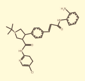 CC(C)(C)N1CC(C(=O)NC2=NC=C(Cl)CC2)C(c2ccc(/C=C/C(=O)Nc3ccccc3N)cc2)C1